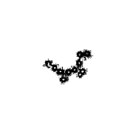 c1ccc(-c2ccc(-c3ccc(N(c4ccccc4)c4ccc(-c5ccc(N(c6ccc(-c7cccc8c7sc7ccccc78)cc6)c6cccc7ccccc67)cc5)cc4)cc3)cc2)cc1